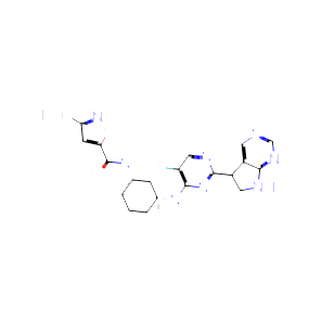 Cc1cc(C(=O)N[C@H]2CCC[C@@H](Nc3nc(C4CNc5ncncc54)ncc3F)C2)on1